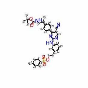 Cc1ccc(S(=O)(=O)OCCc2cccc(Nc3ncc(C#N)c(-c4ccc(C(C)CNC(=O)OC(C)(C)C)cc4)n3)c2)cc1